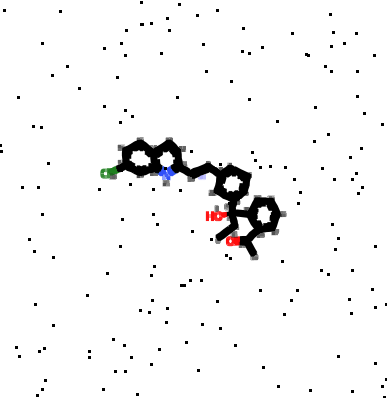 CC[C@](O)(c1cccc(/C=C/c2ccc3ccc(Cl)cc3n2)c1)c1ccccc1C(C)=O